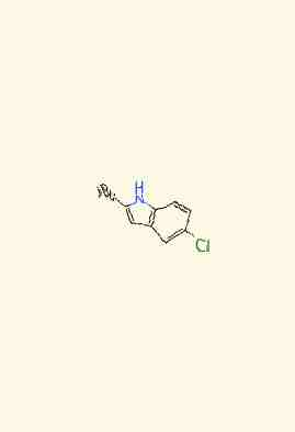 CCC(C)c1cc2cc(Cl)ccc2[nH]1